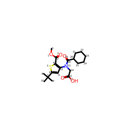 COC(=O)c1sc(C(C)(C)C)cc1N(CC(=O)O)C(=O)C1CCCCC1